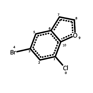 Clc1cc(Br)cc2ccoc12